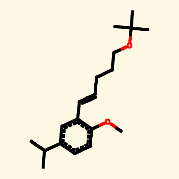 COc1ccc(C(C)C)cc1/C=C/CCCOC(C)(C)C